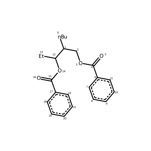 CCCCC(COC(=O)c1ccccc1)C(CC)OC(=O)c1ccccc1